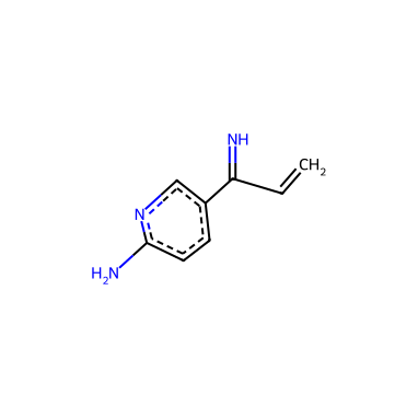 C=CC(=N)c1ccc(N)nc1